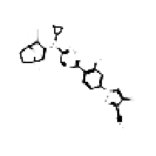 C[C@@]12CC[C@@](C)(N1)[C@@H](F)[C@@H](N(c1cnc(-c3ccc(-n4cc(F)c(C#N)n4)cc3O)nn1)C1CC1)C2